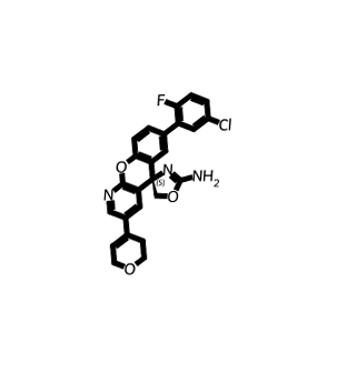 NC1=N[C@@]2(CO1)c1cc(-c3cc(Cl)ccc3F)ccc1Oc1ncc(C3=CCOCC3)cc12